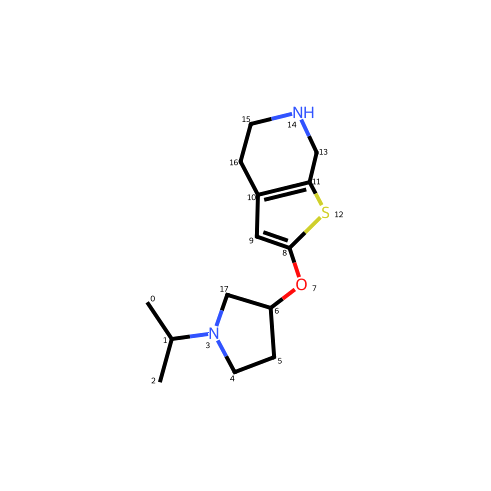 CC(C)N1CCC(Oc2cc3c(s2)CNCC3)C1